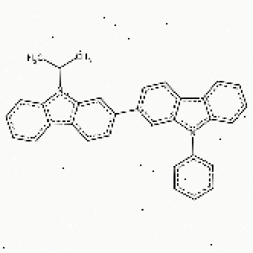 CC(C)n1c2ccccc2c2ccc(-c3ccc4c5ccccc5n(-c5ccccc5)c4c3)cc21